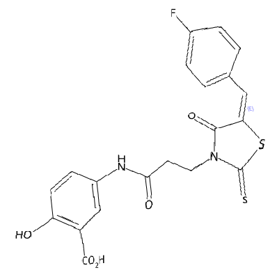 O=C(CCN1C(=O)/C(=C\c2ccc(F)cc2)SC1=S)Nc1ccc(O)c(C(=O)O)c1